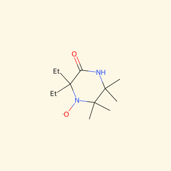 CCC1(CC)C(=O)NC(C)(C)C(C)(C)N1[O]